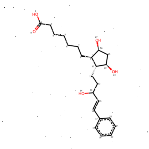 O=C(O)CCCCCC[C@@H]1[C@@H](CCC(O)C=Cc2ccccc2)[C@H](O)C[C@@H]1O